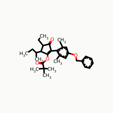 CCC(C)C1C(OC(=O)C(C)(C)C)=C(c2c(C)cc(OCc3ccccc3)cc2C)C(=O)C1CC